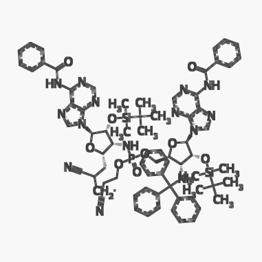 [CH2]C(C#N)C[C@@H]1O[C@@H](n2cnc3c(NC(=O)c4ccccc4)ncnc32)[C@H](O[Si](C)(C)C(C)(C)C)[C@@H]1NP(=O)(OCCC#N)OC[C@H]1O[C@@H](n2cnc3c(NC(=O)c4ccccc4)ncnc32)[C@H](O[Si](C)(C)C(C)(C)C)[C@@H]1NC(c1ccccc1)(c1ccccc1)c1ccccc1